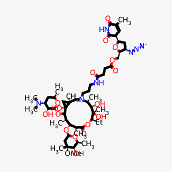 CC[C@H]1OC(=O)[C@H](C)[C@@H](OC2C[C@@](C)(OC)[C@@H](O)[C@H](C)O2)[C@H](C)C(O[C@@H]2O[C@H](C)C[C@H](N(C)C)[C@H]2O)[C@]2(O)C[C@@]2(C)CN(CCCNC(=O)CCC(=O)OC[C@H]2O[C@@H](C3C=C(C)C(=O)NC3=O)C[C@H]2N=[N+]=[N-])[C@H](C)[C@@H](O)[C@]1(C)O